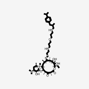 CC[C@H]1OC(=O)[C@H](C)C(=O)[C@H](C)[C@@H](O[C@@H]2O[C@H](C)C[C@H](N(C)C)[C@H]2O)[C@@](C)(OC)C[C@@H](C)C(=NOCCNCCCOCCCNCC(C)Cc2ccc(C(C)C)cc2)[C@H](C)[C@@H](O)[C@]1(C)O